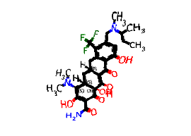 CCC(C)N(C)Cc1cc(O)c2c(c1C(F)(F)F)C[C@H]1C[C@H]3[C@H](N(C)C)C(O)=C(C(N)=O)C(=O)[C@@]3(O)C(O)=C1C2=O